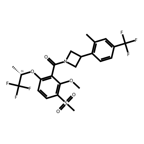 COc1c(S(C)(=O)=O)ccc(O[C@@H](C)C(F)(F)F)c1C(=O)N1CC(c2ccc(C(F)(F)F)cc2C)C1